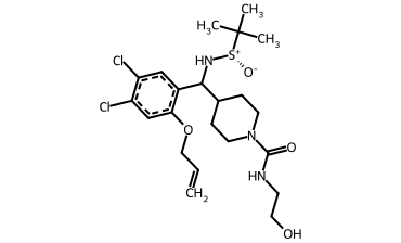 C=CCOc1cc(Cl)c(Cl)cc1C(N[S@@+]([O-])C(C)(C)C)C1CCN(C(=O)NCCO)CC1